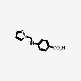 O=C(O)c1ccc(NCn2cccn2)cc1